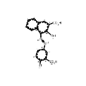 O=C(O)c1cc2ccccc2c(N=Nc2ccc(Cl)c(S(=O)(=O)O)c2)c1O